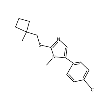 Cn1c(-c2ccc(Cl)cc2)cnc1SCC1(C)CCC1